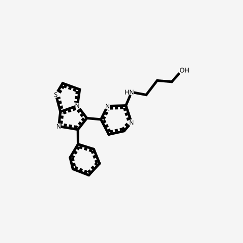 OCCCNc1nccc(-c2c(-c3ccccc3)nc3sccn23)n1